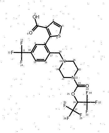 O=C(O)c1ccsc1-c1cc(C(F)(F)F)ccc1CN1CCN(C(=O)OC(C(F)(F)F)C(F)(F)F)CC1